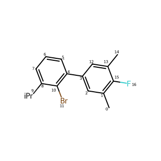 Cc1cc(-c2[c]ccc(C(C)C)c2Br)cc(C)c1F